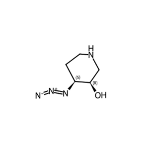 [N-]=[N+]=N[C@H]1CCNC[C@H]1O